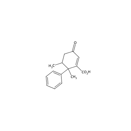 CC1CC(=O)C=C(C(=O)O)C1(C)c1ccccc1